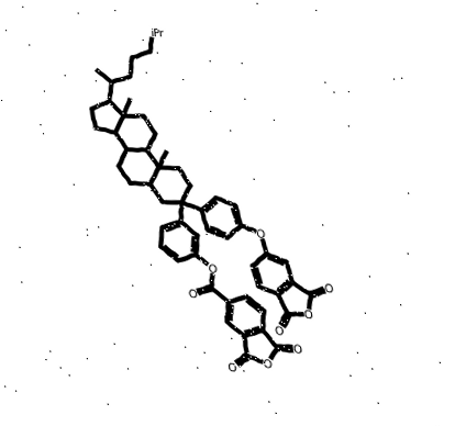 CC(C)CCCC(C)C1CCC2C3CCC4CC(c5ccc(Oc6ccc7c(c6)C(=O)OC7=O)cc5)(c5cccc(OC(=O)c6ccc7c(c6)C(=O)OC7=O)c5)CCC4(C)C3CCC12C